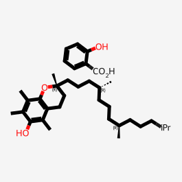 Cc1c(C)c2c(c(C)c1O)CC[C@@](C)(CCC[C@H](C)CCC[C@H](C)CCCC(C)C)O2.O=C(O)c1ccccc1O